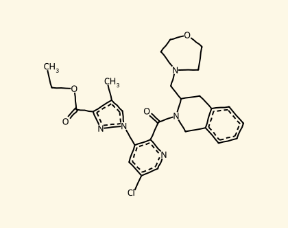 CCOC(=O)c1nn(-c2cc(Cl)cnc2C(=O)N2Cc3ccccc3CC2CN2CCOCC2)cc1C